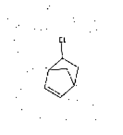 CCC1C[C]2C=CC1C2